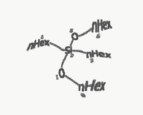 CCCCCCO[Si](CCCCCC)(CCCCCC)OCCCCCC